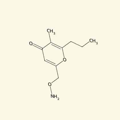 CCCc1oc(CON)cc(=O)c1C